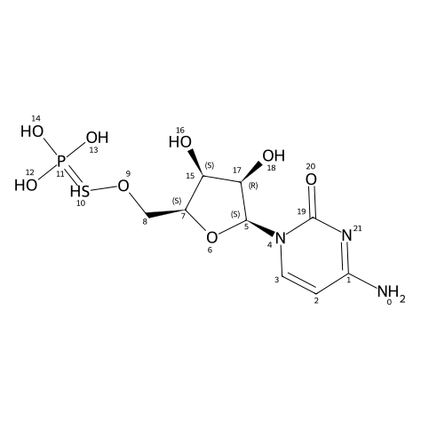 Nc1ccn([C@H]2O[C@@H](CO[SH]=P(O)(O)O)[C@@H](O)[C@H]2O)c(=O)n1